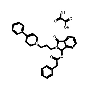 O=C(Cc1ccccc1)OC1c2ccccc2C(=O)N1CCCN1CC=C(c2ccccc2)CC1.O=C(O)C(=O)O